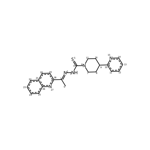 CC(=NNC(=S)N1CCC(c2ccccn2)CC1)c1ccc2ccccc2n1